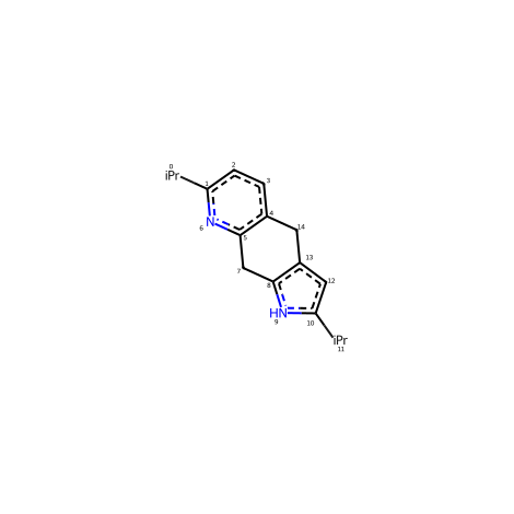 CC(C)c1ccc2c(n1)Cc1[nH]c(C(C)C)cc1C2